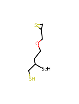 SCC([SeH])CCOCC1CS1